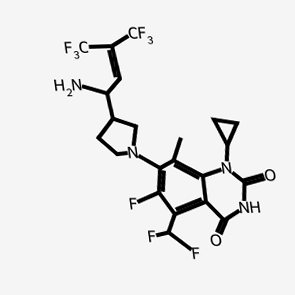 Cc1c(N2CCC(C(N)C=C(C(F)(F)F)C(F)(F)F)C2)c(F)c(C(F)F)c2c(=O)[nH]c(=O)n(C3CC3)c12